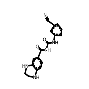 N#Cc1cccc(NC(=O)NC(=O)c2ccc3c(c2)NCCN3)c1